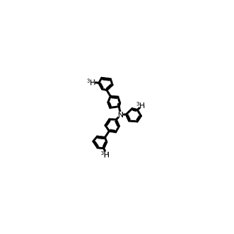 [3H]c1cccc(-c2ccc(N(c3ccc(-c4cccc([3H])c4)cc3)c3cccc([3H])c3)cc2)c1